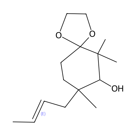 C/C=C/CC1(C)CCC2(OCCO2)C(C)(C)C1O